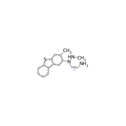 CNN(/C=C\N)c1cc2c(cc1C)sc1ccccc12